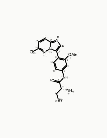 COc1cc(NC(=O)[C@H](N)CC(C)C)ccc1-c1cnc2ccc(Cl)nn12